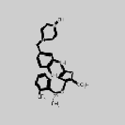 C[C@@H](Oc1cc(Nc2cc(CN3CCN(C)CC3)ccc2N)sc1C(=O)O)c1ccccc1C(F)(F)F